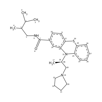 CC(C)C(C)CNC(=O)c1ccc2c(c1)N([C@H](C)CN1CCCC1)c1ccccc1S2